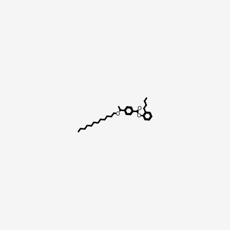 CCCCCCCCCCCCOC(C)c1ccc(C(=O)Oc2ccccc2CCCC)cc1